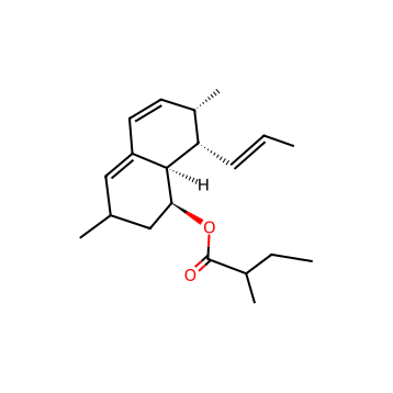 C/C=C/[C@@H]1[C@@H]2C(=CC(C)C[C@@H]2OC(=O)C(C)CC)C=C[C@@H]1C